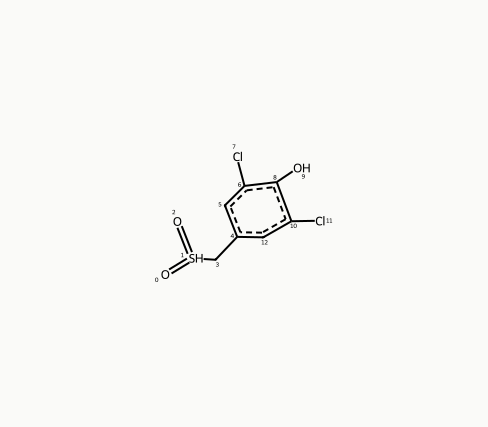 O=[SH](=O)Cc1cc(Cl)c(O)c(Cl)c1